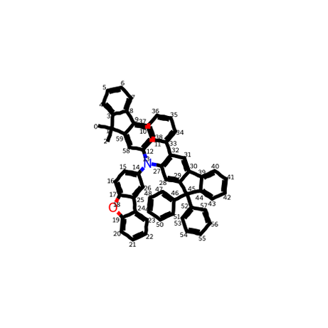 CC1(C)c2ccccc2-c2ccc(N(c3ccc4oc5ccccc5c4c3)c3cc4c(cc3-c3ccccc3)-c3ccccc3C4(c3ccccc3)c3ccccc3)cc21